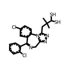 CC(C)(Cc1nnc2n1-c1ccc(Cl)cc1C(c1ccccc1Cl)=NC2)C(S)S